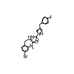 CN1C(=O)[C@@H](NC(=O)n2cc(Cc3ccc(F)cc3)cn2)CCc2ccc(Br)cc21